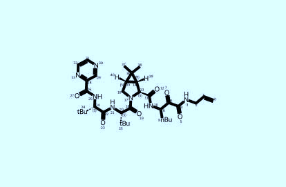 C=CCNC(=O)C(=O)C(CCCC)NC(=O)[C@@H]1[C@@H]2[C@H](CN1C(=O)[C@@H](NC(=O)[C@@H](NC(=O)c1cnccn1)C(C)(C)C)C(C)(C)C)C2(C)C